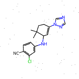 CC1(C)CCC(n2cncn2)=CC1Nc1ccc(C#N)c(Cl)c1